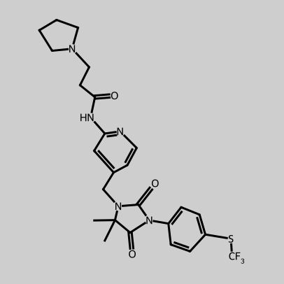 CC1(C)C(=O)N(c2ccc(SC(F)(F)F)cc2)C(=O)N1Cc1ccnc(NC(=O)CCN2CCCC2)c1